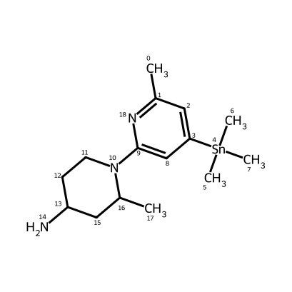 Cc1c[c]([Sn]([CH3])([CH3])[CH3])cc(N2CCC(N)CC2C)n1